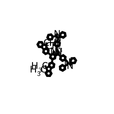 CC1(C)c2ccccc2-c2ccc(-c3cc(-c4ccc5c(c4)C(C)(C)c4ccccc4-5)c4nc(-c5ccc(-n6c(-c7ccccc7)nc7ccccc76)cc5)nc(-c5ccc(-n6c(-c7ccccc7)nc7ccccc76)cc5)c4c3)cc21